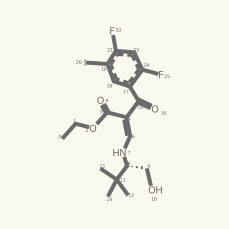 CCOC(=O)C(=CN[C@H](CO)C(C)(C)C)C(=O)c1cc(I)c(F)cc1F